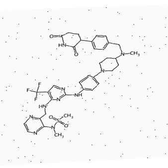 CN(Cc1ccc(C2CCC(=O)NC2=O)cc1)C1CCN(c2ccc(Nc3ncc(C(F)(F)F)c(NCc4nccnc4N(C)S(C)(=O)=O)n3)cc2)CC1